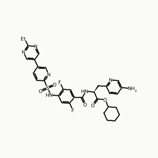 CCc1ncc(-c2ccc(S(=O)(=O)Nc3cc(F)c(C(=O)N[C@@H](Cc4ccc(N)cn4)C(=O)OC4CCCCC4)cc3F)nc2)cn1